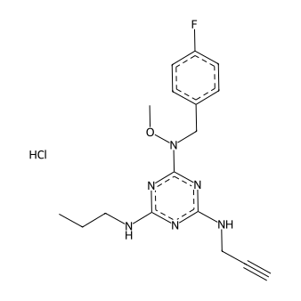 C#CCNc1nc(NCCC)nc(N(Cc2ccc(F)cc2)OC)n1.Cl